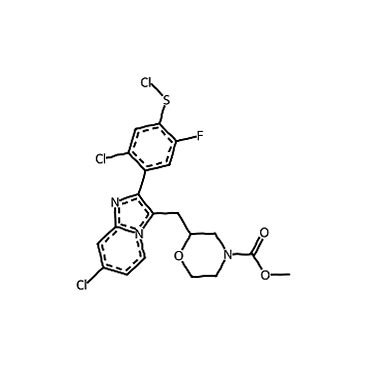 COC(=O)N1CCOC(Cc2c(-c3cc(F)c(SCl)cc3Cl)nc3cc(Cl)ccn23)C1